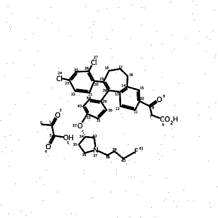 CC(=O)C(=O)O.O=C(O)CC(=O)c1ccc2c(c1)CCCC(c1ccc(Cl)cc1Cl)=C2c1ccc(O[C@H]2CCN(CCCF)C2)cc1